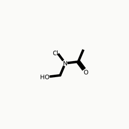 CC(=O)N(Cl)CO